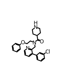 O=C(C1CCNCC1)N(CCOc1ccccc1)Cc1ncccc1-c1cccc(Cl)c1